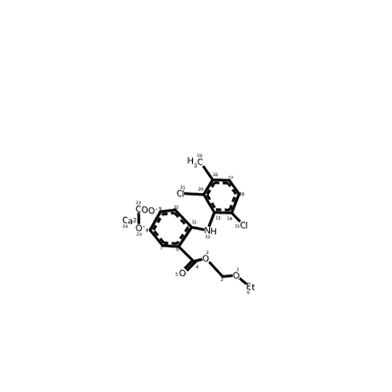 CCOCOC(=O)c1ccccc1Nc1c(Cl)ccc(C)c1Cl.O=C([O-])[O-].[Ca+2]